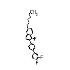 CCCCCCc1ccc2c(F)c(-c3ccc(-c4ccc(F)c(F)c4)cc3)ccc2c1